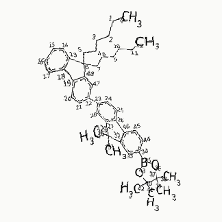 CCCCCCC1(CCCCCC)c2ccccc2-c2ccc(-c3ccc4c(c3)C(C)(C)c3cc(B5OC(C)(C)C(C)(C)O5)ccc3-4)cc21